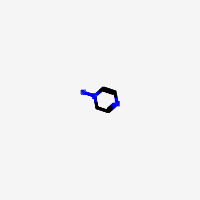 [N]N1C=CN=CC1